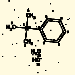 C[N+](C)(C)c1ccccc1.O.[OH-]